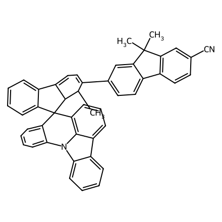 CC1C(c2ccc3c(c2)C(C)(C)c2cc(C#N)ccc2-3)=CC=C2c3ccccc3C3(c4ccccc4-n4c5ccccc5c5cccc3c54)C21